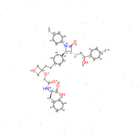 O=C(COC1(CCc2ccc([C@@H]3[C@@H](CC[C@H](O)c4ccc(F)cc4)C(=O)N3c3ccc(F)cc3)cc2)COC1)N[C@H](Cc1ccccc1)C(=O)O